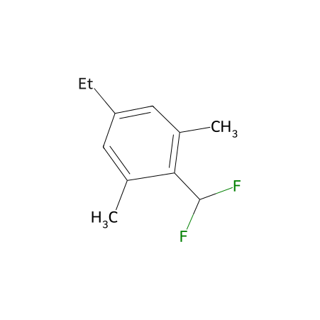 [CH2]Cc1cc(C)c(C(F)F)c(C)c1